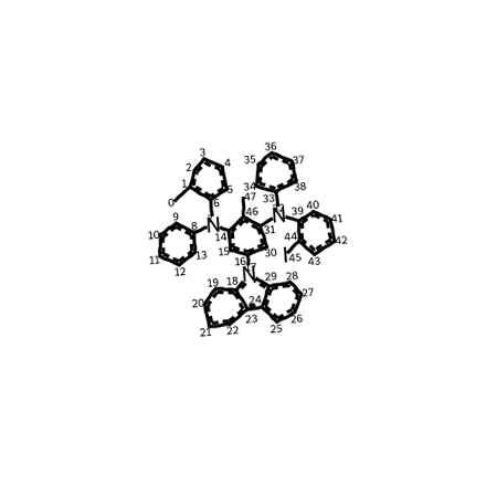 Cc1ccccc1N(c1ccccc1)c1cc(-n2c3ccccc3c3ccccc32)cc(N(c2ccccc2)c2ccccc2I)c1C